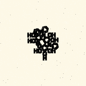 Oc1c(O)c2ooc3c(O)c(O)c(O)c4c3c3c5c2c(c1O)n(-c1ccccc1)c5c(O)c(O)c3n4-c1ccccc1-c1ccccc1